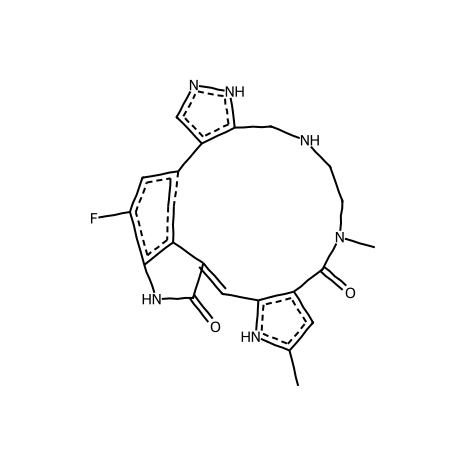 Cc1cc2c([nH]1)/C=C1\C(=O)Nc3c(F)cc(cc31)-c1cn[nH]c1CNCCN(C)C2=O